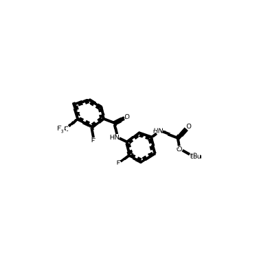 CC(C)(C)OC(=O)Nc1ccc(F)c(NC(=O)c2cccc(C(F)(F)F)c2F)c1